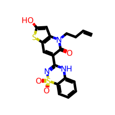 C=CCCn1c(=O)c(C2=NS(=O)(=O)c3ccccc3N2)cc2sc(O)cc21